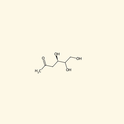 CC(=O)C[C@@H](O)C(O)CO